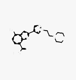 NC(=O)c1ccc(Br)c2cc(-c3cnn(CCN4CCOCC4)c3)[nH]c12